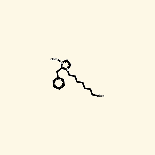 CCCCCCCCCCCCCCCCC[n+]1ccn(CCCCCCCCCC)c1Cc1ccccc1